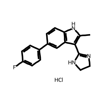 Cc1[nH]c2ccc(-c3ccc(F)cc3)cc2c1C1=NCCN1.Cl